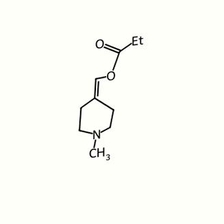 CCC(=O)OC=C1CCN(C)CC1